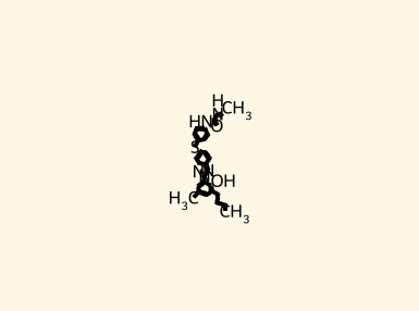 CCCCc1cc(C)cc(-n2nc3ccc(Sc4ccc(NC(=O)NCC)cc4)cc3n2)c1O